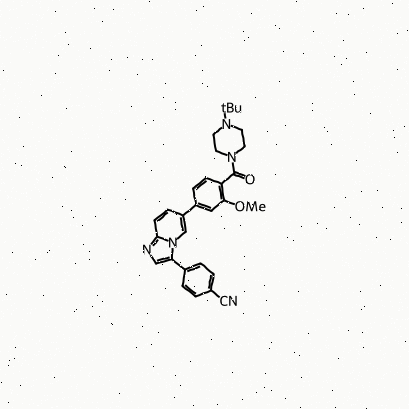 COc1cc(-c2ccc3ncc(-c4ccc(C#N)cc4)n3c2)ccc1C(=O)N1CCN(C(C)(C)C)CC1